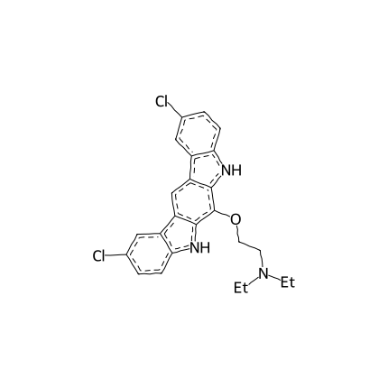 CCN(CC)CCOc1c2[nH]c3ccc(Cl)cc3c2cc2c1[nH]c1ccc(Cl)cc12